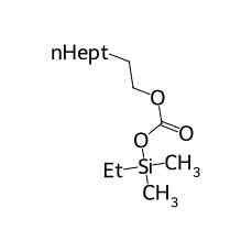 CCCCCCCCCOC(=O)O[Si](C)(C)CC